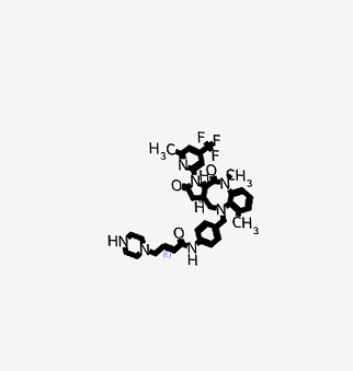 Cc1cc(C(F)(F)F)cc(N2C(=O)C[C@@H]3CN(Cc4ccc(NC(=O)/C=C/CN5CCNCC5)cc4)c4c(C)cccc4N(C)C(=O)[C@H]32)n1